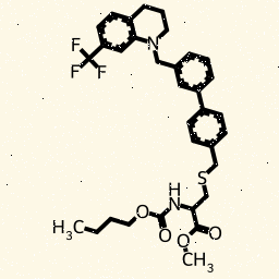 CCCCOC(=O)NC(CSCc1ccc(-c2cccc(CN3CCCc4ccc(C(F)(F)F)cc43)c2)cc1)C(=O)OC